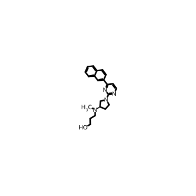 CN(CCCO)[C@@H]1CCN(c2nccc(-c3ccc4ccccc4c3)n2)C1